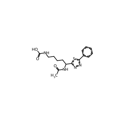 CC(=O)NC(CCCCNC(=O)O)c1nnc(-c2ccccc2)s1